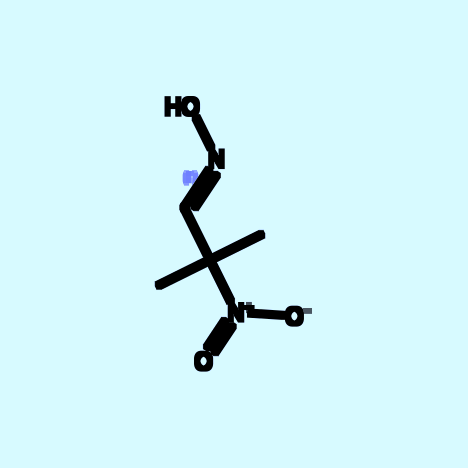 CC(C)(/C=N/O)[N+](=O)[O-]